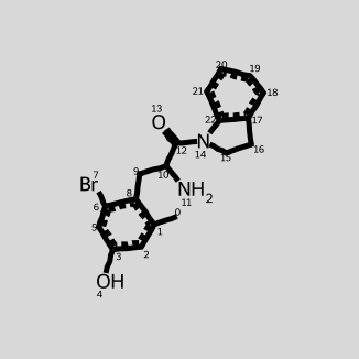 Cc1cc(O)cc(Br)c1CC(N)C(=O)N1CCc2ccccc21